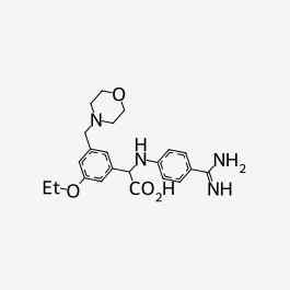 CCOc1cc(CN2CCOCC2)cc(C(Nc2ccc(C(=N)N)cc2)C(=O)O)c1